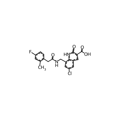 Cc1cc(F)ccc1CC(=O)NCc1cc(Cl)cc2cc(C(=O)O)c(=O)[nH]c12